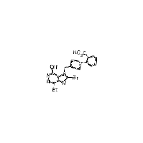 CCc1nnc(O)c2c1nc(C(C)C)n2Cc1ccc(-c2ccccc2C(=O)O)cc1